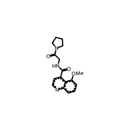 COc1cccc2nccc(C(=O)NCC(=O)N3CCCC3)c12